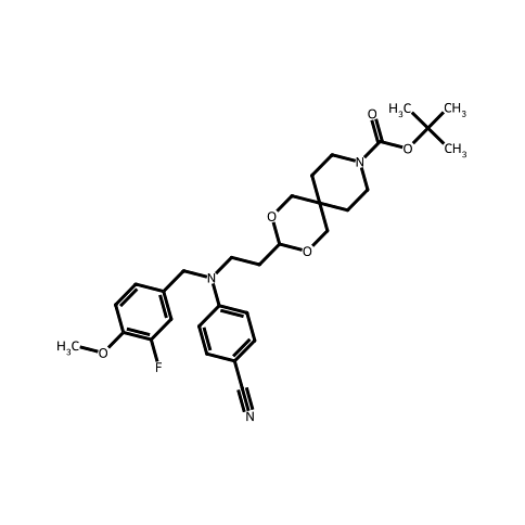 COc1ccc(CN(CCC2OCC3(CCN(C(=O)OC(C)(C)C)CC3)CO2)c2ccc(C#N)cc2)cc1F